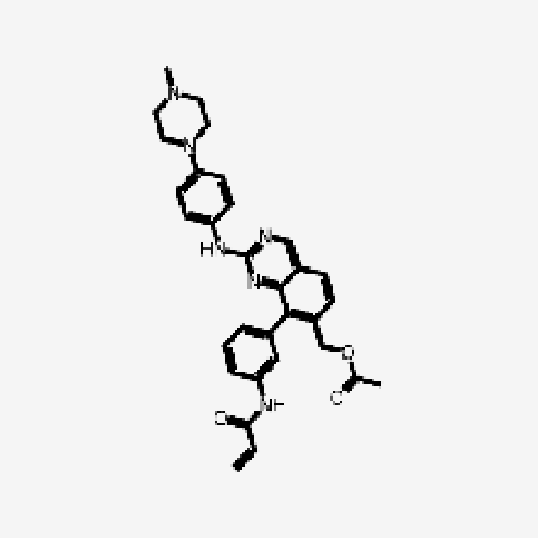 C=CC(=O)Nc1cccc(-c2c(COC(C)=O)ccc3cnc(Nc4ccc(N5CCN(C)CC5)cc4)nc23)c1